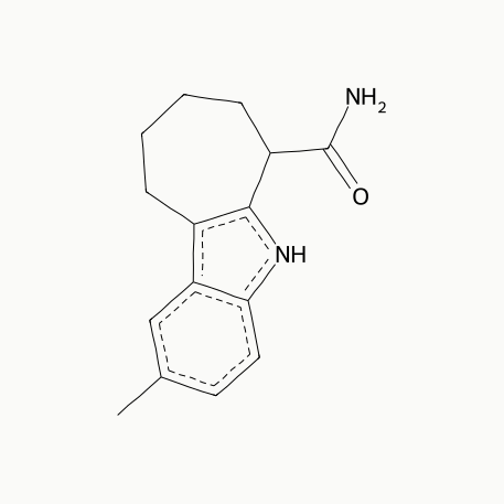 Cc1ccc2[nH]c3c(c2c1)CCCCC3C(N)=O